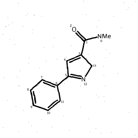 CNC(=O)C1=CC(c2ccccc2)=NC1